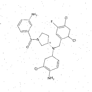 NC1=C(Cl)CC(N(CC2=CC(F)=C(Cl)CC2Cl)[C@H]2CCN(C(=O)c3cccc(N)c3)C2)C=C1